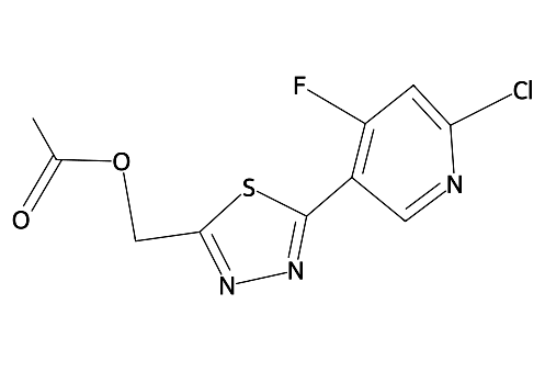 CC(=O)OCc1nnc(-c2cnc(Cl)cc2F)s1